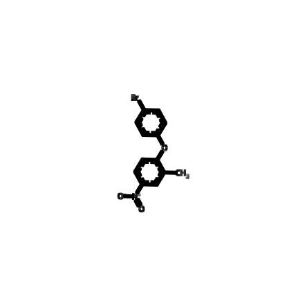 Cc1cc([N+](=O)[O-])ccc1Oc1ccc(Br)cc1